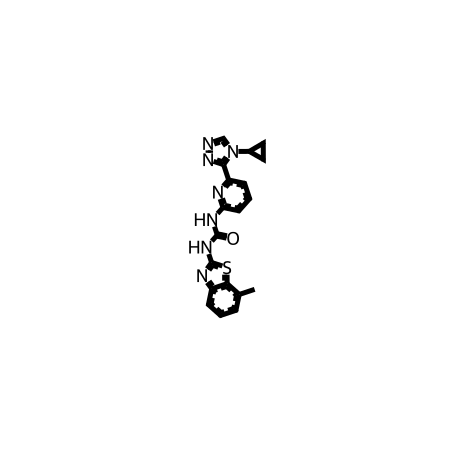 Cc1cccc2nc(NC(=O)Nc3cccc(-c4nncn4C4CC4)n3)sc12